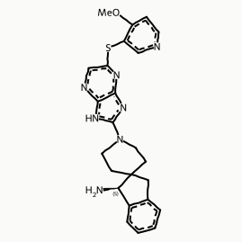 COc1ccncc1Sc1cnc2[nH]c(N3CCC4(CC3)Cc3ccccc3[C@H]4N)nc2n1